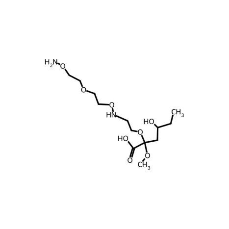 CCC(O)CC(OC)(OCCNOCCOCCON)C(=O)O